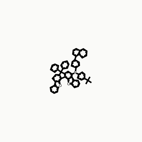 CC(C)(C)c1ccc(N(c2ccc(-c3cccc4ccccc34)cc2)c2cc3c(c4oc5ccccc5c24)-c2c(ccc4c2oc2ccccc24)C3(c2ccccc2)c2ccccc2)cc1